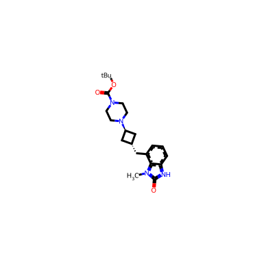 Cn1c(=O)[nH]c2cccc(C[C@H]3C[C@H](N4CCN(C(=O)OC(C)(C)C)CC4)C3)c21